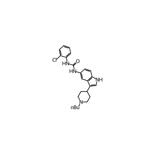 CCCCN1CCC(c2c[nH]c3ccc(NC(=O)Nc4ccccc4Cl)cc23)CC1